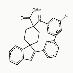 COC(=O)C1(Nc2cccc(Cl)c2)CCC2(CC1)C(c1cccc(O)c1)=Cc1ccccc12